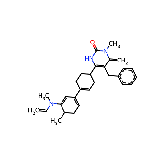 C=CN(C)C1=CC(C2=CCC(C3=C(Cc4ccccc4)C(=C)N(C)C(=O)N3)CC2)=CCC1C